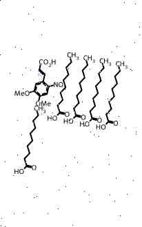 CCCCCCCCCC(=O)O.CCCCCCCCCC(=O)O.CCCCCCCCCC(=O)O.CCCCCCCCCC(=O)O.CCCCCCCCCC(=O)O.COc1cc(/C=C/C(=O)O)c([N+](=O)[O-])cc1OC